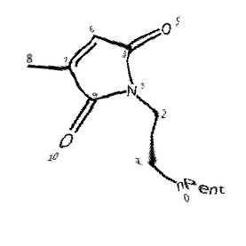 CCCCCCCN1C(=O)C=C(C)C1=O